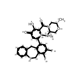 C[C@H]1CN2C(=O)c3c(O)c(=O)cc(-c4cc(F)c(F)c5c4Cc4ccccc4SC5)n3N[C@@H]2CO1